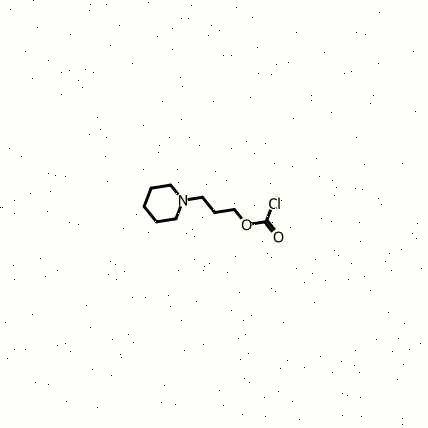 O=C(Cl)OCCCN1CCCCC1